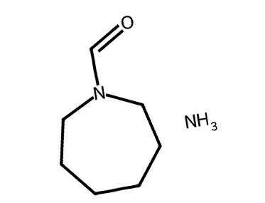 N.O=CN1CCCCCC1